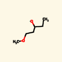 CCC([O])CCOC